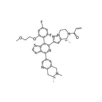 C=CC(=O)N1CCn2nc(-c3nc(-c4cnc5c(c4)CN(C)[C@H](C)C5)c4ccsc4c3-c3c(F)cc(F)cc3OCCOC)cc2[C@H]1C